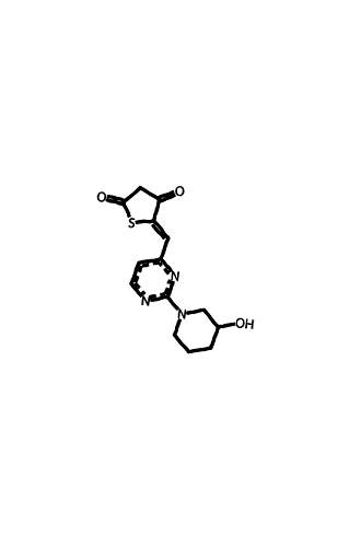 O=C1CC(=O)/C(=C/c2ccnc(N3CCCC(O)C3)n2)S1